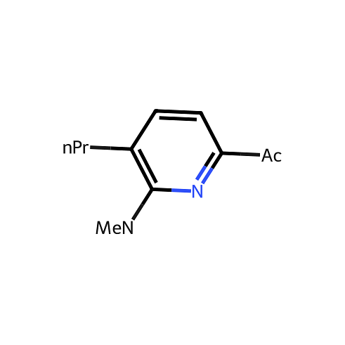 CCCc1ccc(C(C)=O)nc1NC